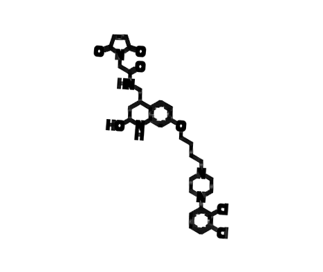 O=C(CN1C(=O)C=CC1=O)NCC1CC(O)Nc2cc(OCCCCN3CCN(c4cccc(Cl)c4Cl)CC3)ccc21